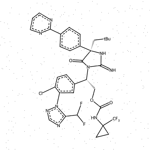 CC(C)(C)C[C@]1(c2ccc(-c3ncccn3)cc2)NC(=N)N([C@H](COC(=O)NC2(C(F)(F)F)CC2)c2ccc(Cl)c(-n3ncnc3C(F)F)c2)C1=O